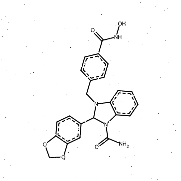 NC(=O)N1c2ccccc2N(Cc2ccc(C(=O)NO)cc2)C1c1ccc2c(c1)OCO2